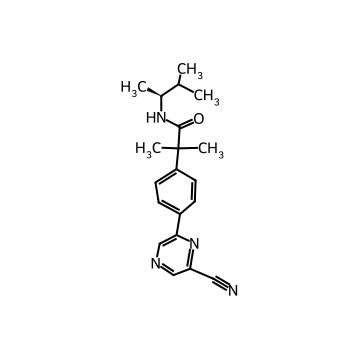 CC(C)[C@H](C)NC(=O)C(C)(C)c1ccc(-c2cncc(C#N)n2)cc1